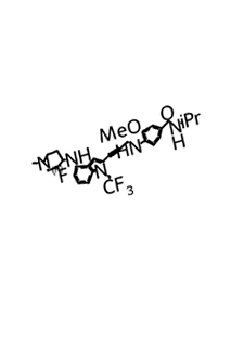 COc1cc(C(=O)NC(C)C)ccc1NCC#Cc1cc2c(NC3CCN(C)C[C@H]3F)cccc2n1CC(F)(F)F